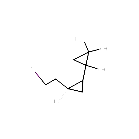 CC1(C)CC1(C)C1C[C@@]1(C)CCI